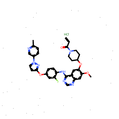 C=CC(=O)N1CCC(Oc2cc3c(Nc4ccc(Oc5ccn(-c6ccc(C)nc6)n5)cc4F)ncnc3cc2OC)CC1.Cl